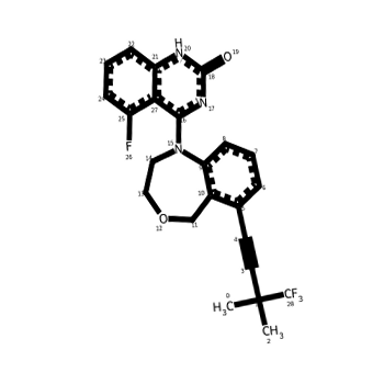 CC(C)(C#Cc1cccc2c1COCCN2c1nc(=O)[nH]c2cccc(F)c12)C(F)(F)F